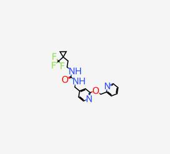 O=C(NCCC1(C(F)(F)F)CC1)NCc1ccnc(OCc2ccccn2)c1